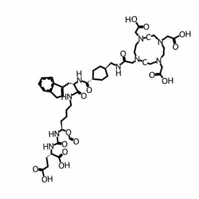 O=CO[C@H](CCCCNC(=O)[C@H](CC1=CCc2ccccc21)NC(=O)[C@H]1CC[C@H](CNC(=O)CN2CCN(CC(=O)O)CCN(CC(=O)O)CCN(CC(=O)O)CC2)CC1)NC(=O)N[C@@H](CCC(=O)O)C(=O)O